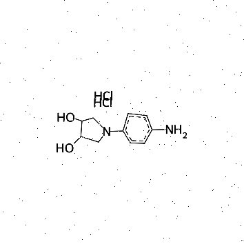 Cl.Cl.Nc1ccc(N2CC(O)C(O)C2)cc1